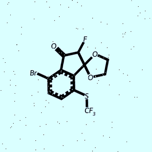 O=C1c2c(Br)ccc(SC(F)(F)F)c2C2(OCCO2)C1F